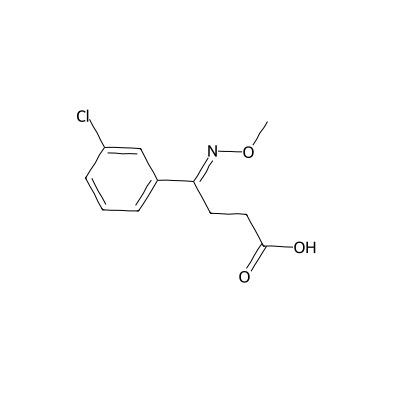 CON=C(CCC(=O)O)c1cccc(Cl)c1